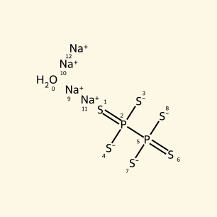 O.S=P([S-])([S-])P(=S)([S-])[S-].[Na+].[Na+].[Na+].[Na+]